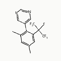 Cc1[c]c(C)c(-c2cncnc2)c(C(F)(C(F)(F)F)C(F)(F)F)c1